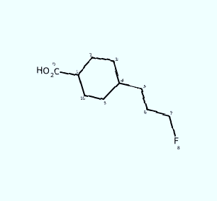 O=C(O)C1CCC(CCCF)CC1